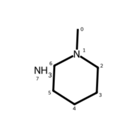 CN1CCCCC1.N